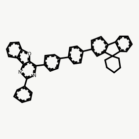 c1ccc(-c2nc(-c3ccc(-c4ccc(-c5ccc6c(c5)C5(CCCCC5)c5ccccc5-6)cc4)cc3)c3oc4ccccc4c3n2)cc1